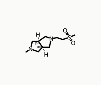 CN1C[C@@H]2CN(CCS(C)(=O)=O)C[C@@H]2C1